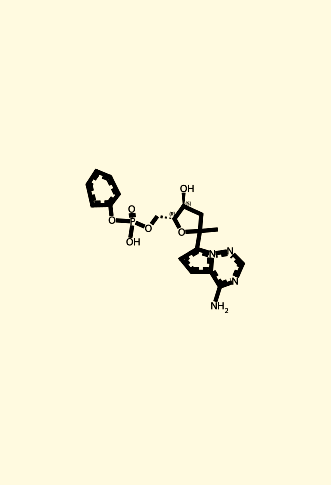 CC1(c2ccc3c(N)ncnn23)C[C@H](O)[C@@H](COP(=O)(O)Oc2ccccc2)O1